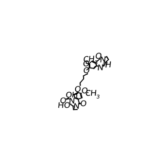 COc1cc2c(cc1OCCCCCOc1cc3c(cc1OC)C(=O)N1CCC1C(O)N3C(=O)O)N=C[C@@H]1CCN1C2=O